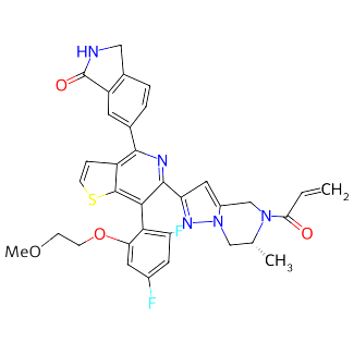 C=CC(=O)N1Cc2cc(-c3nc(-c4ccc5c(c4)C(=O)NC5)c4ccsc4c3-c3c(F)cc(F)cc3OCCOC)nn2C[C@H]1C